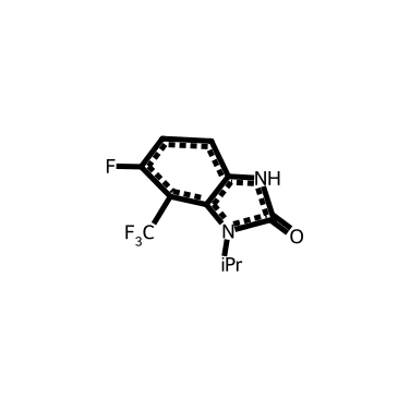 CC(C)n1c(=O)[nH]c2ccc(F)c(C(F)(F)F)c21